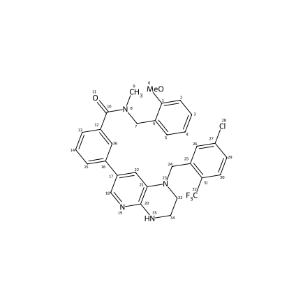 COc1ccccc1CN(C)C(=O)c1cccc(-c2cnc3c(c2)N(Cc2cc(Cl)ccc2C(F)(F)F)CCN3)c1